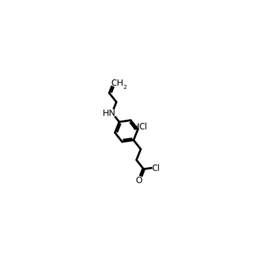 C=CCNc1ccc(CCC(=O)Cl)cc1.Cl